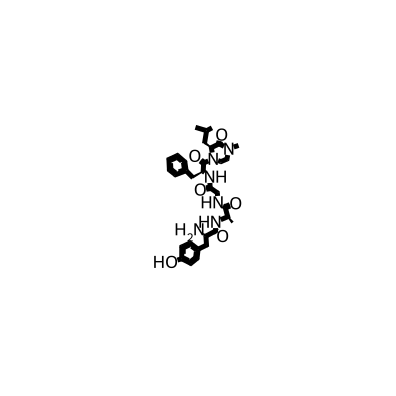 CC(C)C[C@H]1C(=O)N(C)CCN1C(=O)[C@H](Cc1ccccc1)NC(=O)CNC(=O)[C@@H](C)NC(=O)[C@@H](N)Cc1ccc(O)cc1